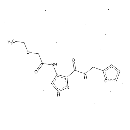 CCOCC(=O)Nc1c[nH]nc1C(=O)NCc1ccco1